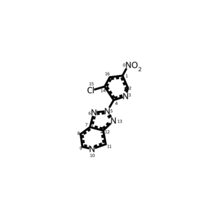 O=[N+]([O-])c1cnc(-n2nc3ccncc3n2)c(Cl)c1